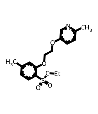 CCOS(=O)(=O)c1ccc(C)cc1OCCOc1ccc(C)nc1